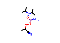 CC(C#N)OOP(N)ON(C(C)C)C(C)C